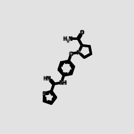 N=C(Nc1ccc(ON2CCCC2C(N)=O)cc1)c1cccs1